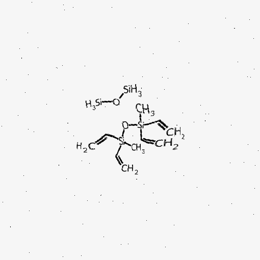 C=C[Si](C)(C=C)O[Si](C)(C=C)C=C.[SiH3]O[SiH3]